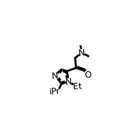 CCn1c(C(=C=O)CN(C)C)cnc1C(C)C